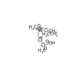 CCn1c(CCCc2ccc(-c3ccc(OC)c(CC(=O)O)c3)cn2)nn(Cc2ccc(C(C)(C)C)cc2)c1=O